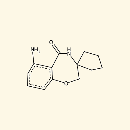 Nc1cccc2c1C(=O)NC1(CCCC1)CO2